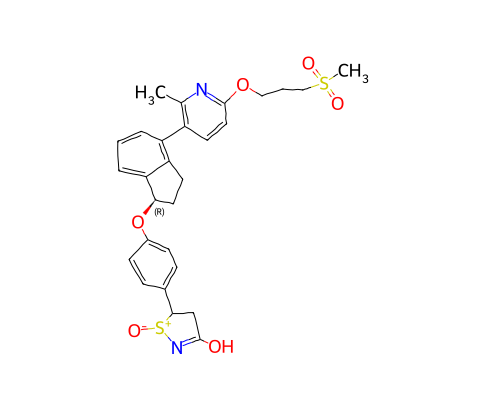 Cc1nc(OCCCS(C)(=O)=O)ccc1-c1cccc2c1CC[C@H]2Oc1ccc(C2CC(O)=N[S+]2[O-])cc1